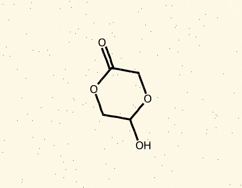 O=C1COC(O)CO1